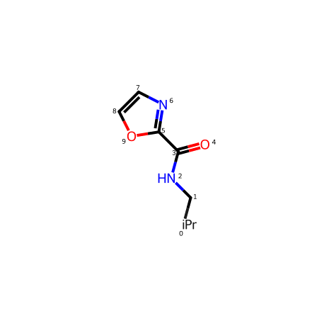 CC(C)CNC(=O)c1ncco1